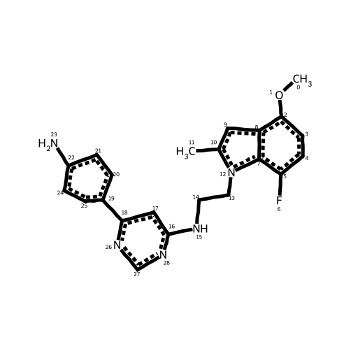 COc1ccc(F)c2c1cc(C)n2CCNc1cc(-c2ccc(N)cc2)ncn1